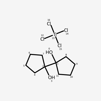 OC1(C2(O)CCCC2)CCCC1.[Cl][Ti]([Cl])([Cl])[Cl]